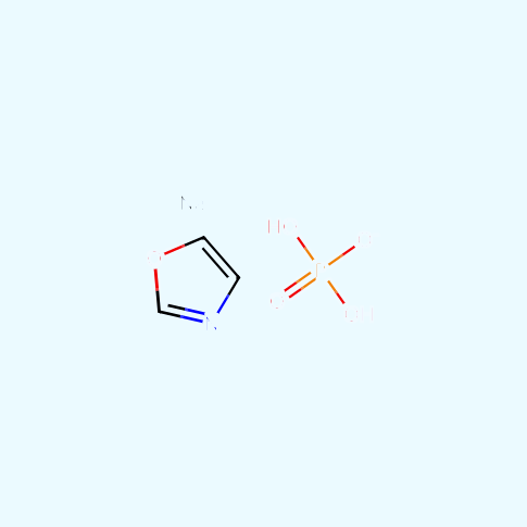 O=P([O-])(O)O.[Na+].c1cocn1